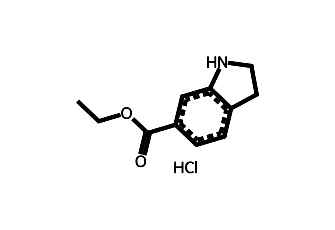 CCOC(=O)c1ccc2c(c1)NCC2.Cl